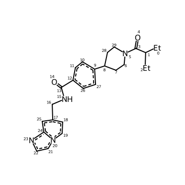 CCC(CC)C(=O)N1CCC(c2ccc(C(=O)NCc3ccn4ccnc4c3)cc2)CC1